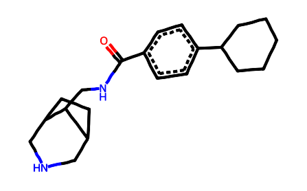 O=C(NCC1C2CCC1CNC2)c1ccc(C2CCCCC2)cc1